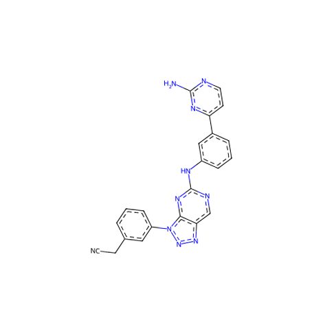 N#CCc1cccc(-n2nnc3cnc(Nc4cccc(-c5ccnc(N)n5)c4)nc32)c1